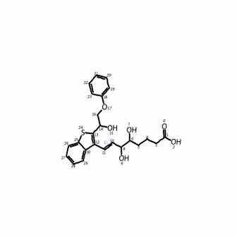 O=C(O)CCCC(O)C(O)/C=C/c1c(C(O)COc2ccccc2)sc2ccccc12